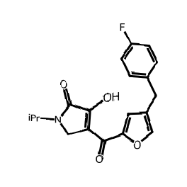 CC(C)N1CC(C(=O)c2cc(Cc3ccc(F)cc3)co2)=C(O)C1=O